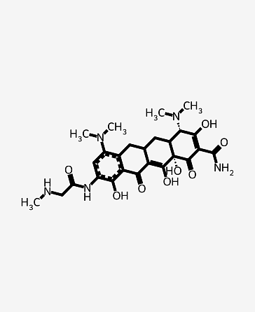 CNCC(=O)Nc1cc(N(C)C)c2c(c1O)C(=O)C1=C(O)[C@]3(O)C(=O)C(C(N)=O)=C(O)[C@@H](N(C)C)C3CC1C2